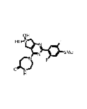 CSc1cc(F)c(-c2nc3c(c(N4CCNC(=O)CC4)n2)CS(O)(O)C3)cc1F